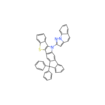 c1ccc(C2(c3ccccc3)c3ccccc3-c3cc4c(cc32)c2sc3ccccc3c2n4-c2cc3ccc4ccccc4n3n2)cc1